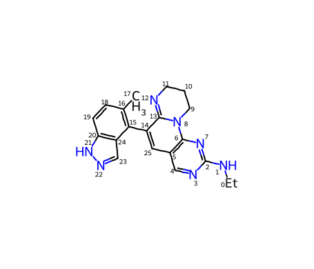 CCNc1ncc2c(n1)N1CCCN=C1C(c1c(C)ccc3[nH]ncc13)=C2